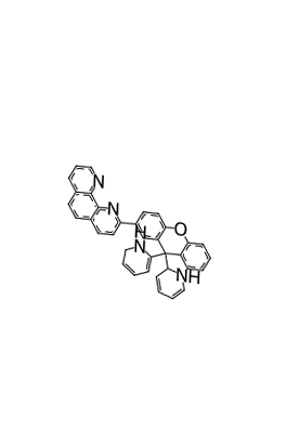 C1=CCNC(C2(C3C=CC=CN3)c3ccccc3Oc3ccc(-c4ccc5ccc6cccnc6c5n4)cc32)=C1